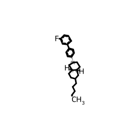 CCCCCC1CC[C@@H]2C[C@H](c3ccc(-c4cccc(F)c4)cc3)CC[C@@H]2C1